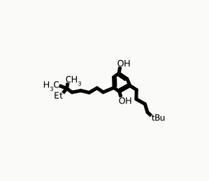 CCC(C)(C)CCCCCc1cc(O)cc(CCCCC(C)(C)C)c1O